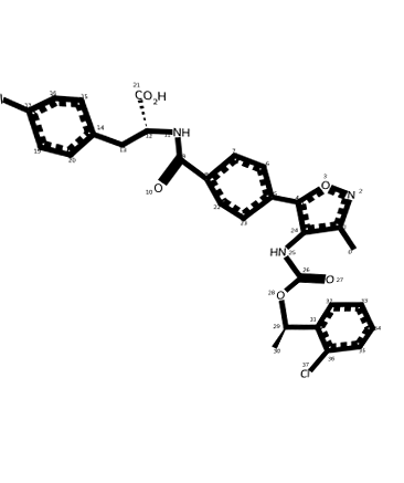 Cc1noc(-c2ccc(C(=O)N[C@H](Cc3ccc(Cl)cc3)C(=O)O)cc2)c1NC(=O)O[C@H](C)c1ccccc1Cl